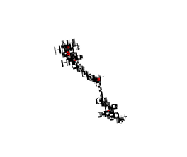 CCN(CC)c1ccc2c(-c3ccccc3C(=O)N3CCN(C(=O)CCCCCCCn4cc(COCCOCCOCCOC(=O)NC(Cc5ccc(NC(=N)N)cc5)P(=O)(Oc5ccccc5)Oc5ccccc5)nn4)CC3)c3ccc(=[N+](CC)CC)cc-3oc2c1.[Cl-]